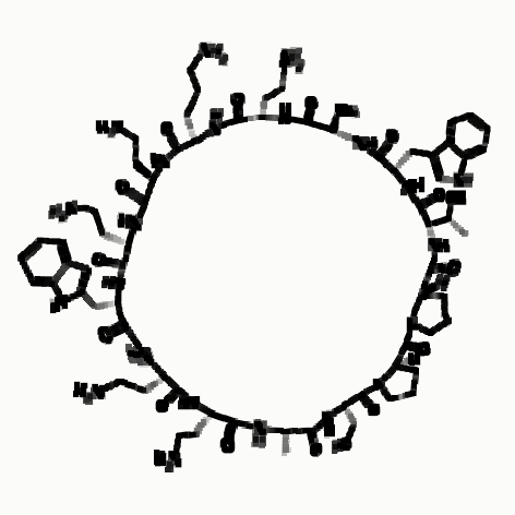 CC[C@H](C)[C@@H]1NC(=O)[C@H](Cc2c[nH]c3ccccc23)NC(=O)[C@H]([C@@H](C)O)NC(=O)[C@@H]2CCCN2C(=O)[C@H]2CCCN2C(=O)[C@H](CO)NC(=O)[C@H](C)NC(=O)[C@H](CCN)NC(=O)[C@H](CCN)NC(=O)[C@H](Cc2cc3ccccc3[nH]2)NC(=O)[C@H](CCN)NC(=O)[C@@H](CCN)NC(=O)[C@H](CCCN)NC(=O)[C@H](CCN)NC1=O